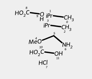 CC(C)C.CC(C)C.COCN.Cl.O=C(O)O.O=C(O)O